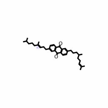 CC(C)=CCCC(C)CCCc1ccc2c(c1)C(=O)c1ccc(CC/C=C(\C)CCCC(C)C)cc1C2=O